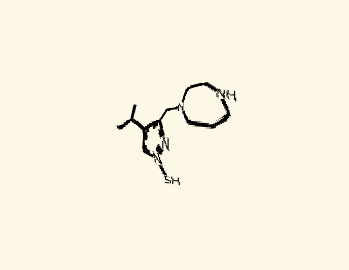 CC(C)c1cn(S)nc1CN1CCCNCC1